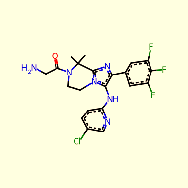 CC1(C)c2nc(-c3cc(F)c(F)c(F)c3)c(Nc3ccc(Cl)cn3)n2CCN1C(=O)CN